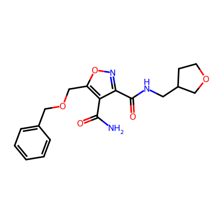 NC(=O)c1c(C(=O)NCC2CCOC2)noc1COCc1ccccc1